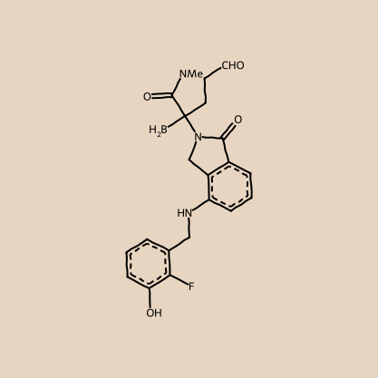 BC(CCC=O)(C(=O)NC)N1Cc2c(NCc3cccc(O)c3F)cccc2C1=O